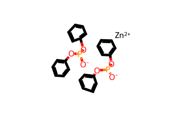 [O-]P(Oc1ccccc1)Oc1ccccc1.[O-]P(Oc1ccccc1)Oc1ccccc1.[Zn+2]